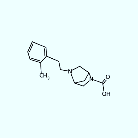 Cc1ccccc1CCN1CC2CC1CN2C(=O)O